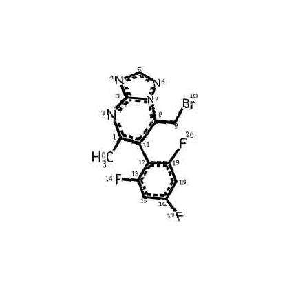 Cc1nc2ncnn2c(CBr)c1-c1c(F)cc(F)cc1F